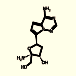 Nc1ncnn2c([C@H]3C[C@H](O)[C@@](N)(CO)O3)ccc12